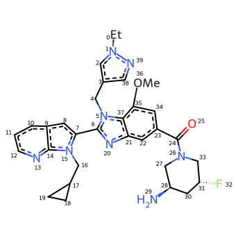 CCn1cc(Cn2c(-c3cc4cccnc4n3CC3CC3)nc3cc(C(=O)N4C[C@H](N)C[C@@H](F)C4)cc(OC)c32)cn1